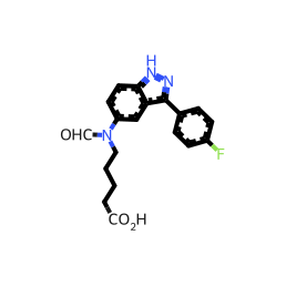 O=CN(CCCCC(=O)O)c1ccc2[nH]nc(-c3ccc(F)cc3)c2c1